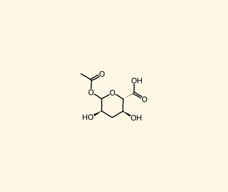 CC(=O)OC1O[C@H](C(=O)O)[C@@H](O)C[C@H]1O